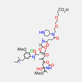 C/C=C(\C)Cc1cc(OC)c(Cl)c(N(C)C(=O)C[C@H](OC(=O)[C@H](C)N(C)C(=O)CCC(=O)N(CCOCCOCCC(=O)O)C2CCNCC2)[C@]2(C)OC2[C@H](C)[C@@H]2C[C@](O)([C@@H](C)OC)NC(=O)O2)c1